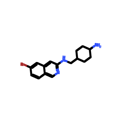 NC1CCC(CNc2cc3cc(Br)ccc3cn2)CC1